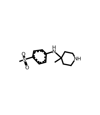 CC1(Nc2ccc(S(C)(=O)=O)cc2)CCNCC1